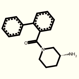 N[C@@H]1CCCN(C(=O)c2ccccc2-c2ccccc2)C1